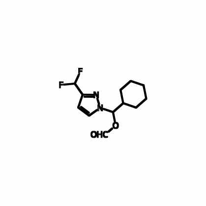 O=COC(C1CCCCC1)n1ccc(C(F)F)n1